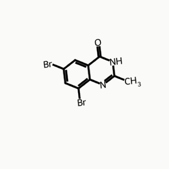 Cc1nc2c(Br)cc(Br)cc2c(=O)[nH]1